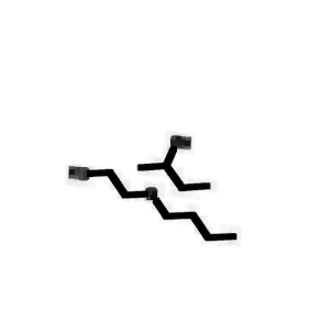 CCC(C)O.CCCCOCCO